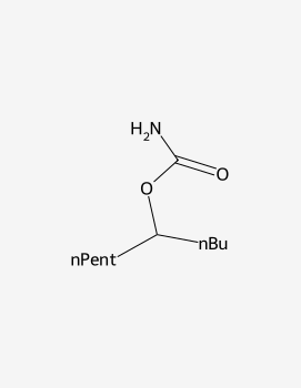 CCCCCC(CCCC)OC(N)=O